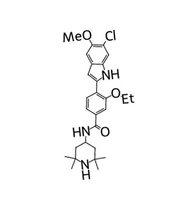 CCOc1cc(C(=O)NC2CC(C)(C)NC(C)(C)C2)ccc1-c1cc2cc(OC)c(Cl)cc2[nH]1